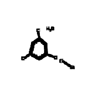 CCCl.Clc1cc(Cl)cc(Cl)c1.O